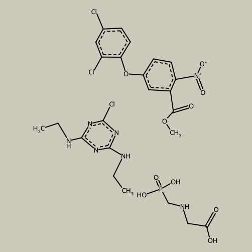 CCNc1nc(Cl)nc(NCC)n1.COC(=O)c1cc(Oc2ccc(Cl)cc2Cl)ccc1[N+](=O)[O-].O=C(O)CNCP(=O)(O)O